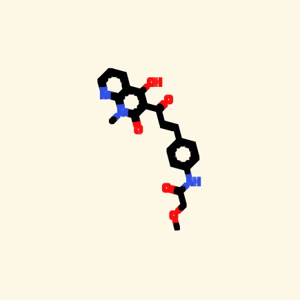 COCC(=O)Nc1ccc(C=CC(=O)c2c(O)c3cccnc3n(C)c2=O)cc1